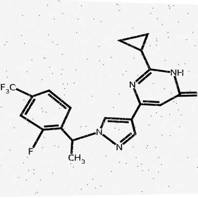 CC(c1ccc(C(F)(F)F)cc1F)n1cc(-c2cc(=O)[nH]c(C3CC3)n2)cn1